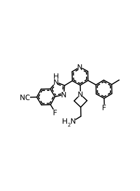 Cc1cc(F)cc(-c2cncc(-c3nc4c(F)cc(C#N)cc4[nH]3)c2N2CC(CN)C2)c1